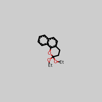 CCOC1(OCC)CCc2ccc3ccccc3c2O1